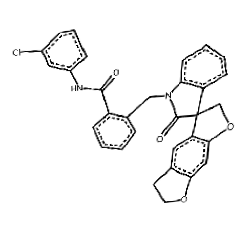 O=C(Nc1cccc(Cl)c1)c1ccccc1CN1C(=O)C2(COc3cc4c(cc32)CCO4)c2ccccc21